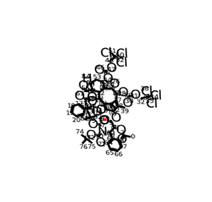 CC(=O)O[C@@H](C(=O)O[C@H]1C[C@@]2(O)[C@@H](OC(=O)c3ccccc3)C3[C@](C)(C(=O)[C@H](OC(=O)OCC(Cl)(Cl)Cl)C(=C1C)C2(C)C)[C@@H](OC(=O)OCC(Cl)(Cl)Cl)C[C@H]1OC[C@@]31OC(C)=O)[C@H](c1ccccc1)N(C(=O)OC(C)(C)C)C(=O)OC(C)(C)C